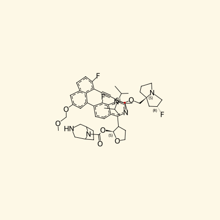 COCOc1cc(-c2ccc3c(C4CCO[C@H]4OC(=O)N4C5CCC4CNC5)nc(OC[C@@]45CCCN4C[C@H](F)C5)nc3c2F)c2c(C#C[Si](C(C)C)(C(C)C)C(C)C)c(F)ccc2c1